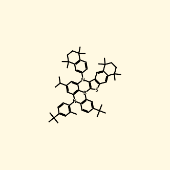 Cc1cc(C(C)(C)C)ccc1N1c2ccc(C(C)(C)C)cc2B2c3sc4cc5c(cc4c3N(c3ccc4c(c3)C(C)(C)CCC4(C)C)c3cc(C(C)C)cc1c32)C(C)(C)CCC5(C)C